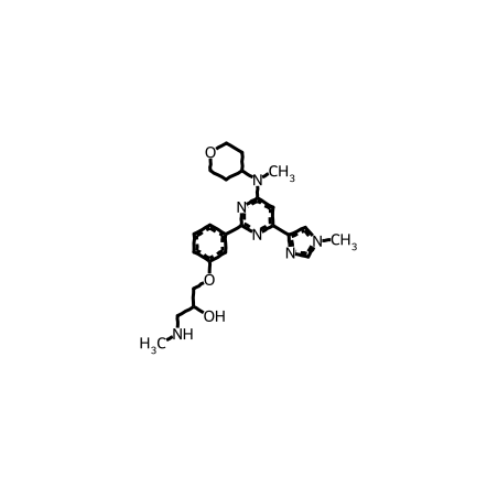 CNCC(O)COc1cccc(-c2nc(-c3cn(C)cn3)cc(N(C)C3CCOCC3)n2)c1